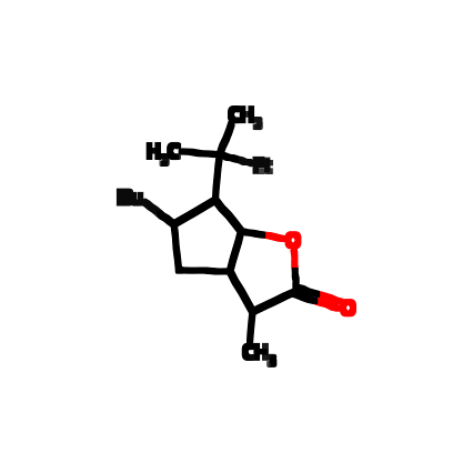 CCC(C)C1CC2C(C)C(=O)OC2C1C(C)(C)CC